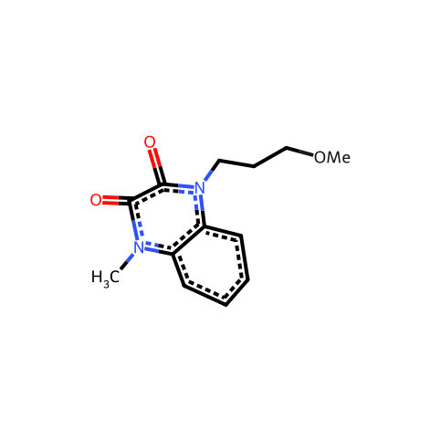 COCCCn1c(=O)c(=O)n(C)c2ccccc21